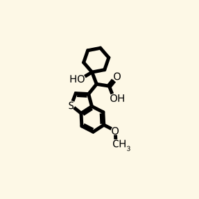 COc1ccc2scc(C(C(=O)O)C3(O)CCCCC3)c2c1